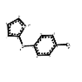 CCc1ccc(Sc2cccs2)cc1